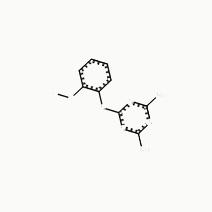 CSc1ccccc1Nc1nc(N)nc(N)n1